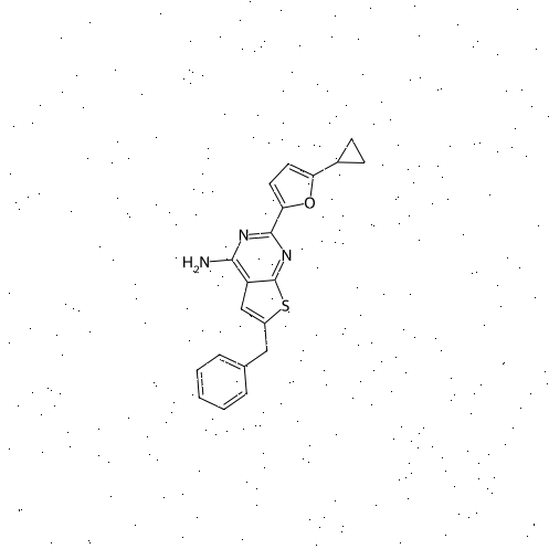 Nc1nc(-c2ccc(C3CC3)o2)nc2sc(Cc3ccccc3)cc12